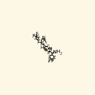 N#CC[C@@H](NC(=O)CC1CC(F)(F)C1)c1cnn2cc([C@@H](N)C3CCC(F)(F)CC3)nc2c1